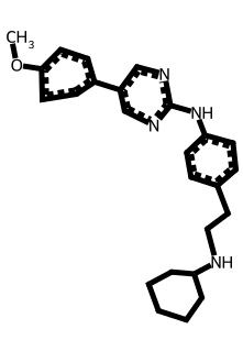 COc1ccc(-c2cnc(Nc3ccc(CCNC4CCCCC4)cc3)nc2)cc1